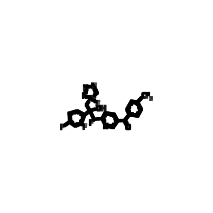 O=C(c1ccc(C(F)(F)F)cc1)c1ccc(C(F)C(O)(C[N+]2(F)C=NN=N2)c2ccc(F)cc2F)nc1